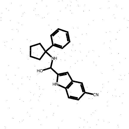 N#Cc1ccc2[nH]c(C(O)NC3(c4ccccc4)CCCC3)cc2c1